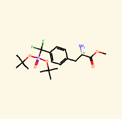 COC(=O)[C@@H](N)Cc1ccc(C(F)(F)P(=O)(OC(C)(C)C)OC(C)(C)C)cc1